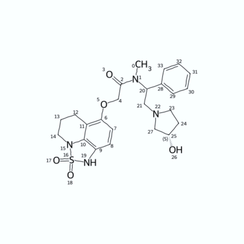 CN(C(=O)COc1ccc2c3c1CCCN3S(=O)(=O)N2)C(CN1CC[C@H](O)C1)c1ccccc1